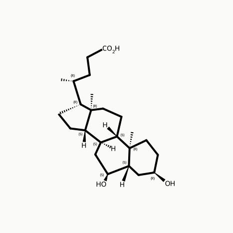 C[C@H](CCC(=O)O)[C@H]1CC[C@H]2[C@@H]3C[C@H](O)[C@H]4C[C@H](O)CC[C@]4(C)[C@H]3CC[C@]12C